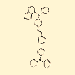 C(=C\c1ccc(N(c2ccccc2)c2cccc3ccccc23)cc1)/c1ccc(-c2ccc(N(c3ccccc3)c3ccccc3)cc2)cc1